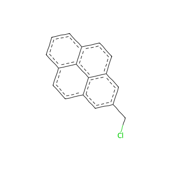 ClCc1cc2ccc3cccc4ccc(c1)c2c34